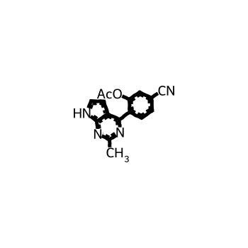 CC(=O)Oc1cc(C#N)ccc1-c1nc(C)nc2[nH]ccc12